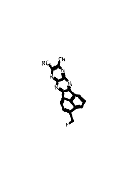 N#Cc1nc2nc3c(nc2nc1C#N)-c1ccc(CF)c2cccc-3c12